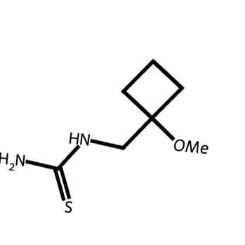 COC1(CNC(N)=S)CCC1